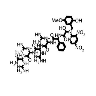 COc1ccc(O)c(CN(c2ncc([N+](=O)[O-])cc2[N+](=O)[O-])C(O)C(=O)NC(C(=O)NC(NC(=N)N)C(=O)NC(NC(=N)N)C(=O)NC(NC(=N)N)C(=O)NC(NC(=N)N)C(N)=O)c2ccccc2)c1